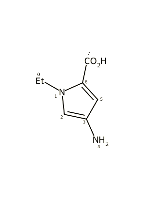 CCn1cc(N)cc1C(=O)O